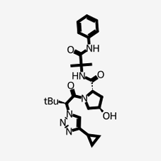 CC(C)(NC(=O)[C@@H]1C[C@@H](O)CN1C(=O)[C@@H](n1cc(C2CC2)nn1)C(C)(C)C)C(=O)Nc1ccccc1